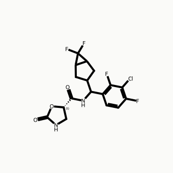 O=C1NC[C@@H](C(=O)NC(c2ccc(F)c(Cl)c2F)C2CC3C(C2)C3(F)F)O1